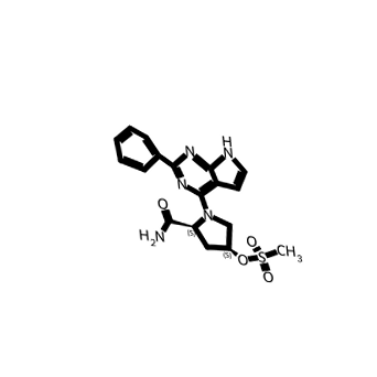 CS(=O)(=O)O[C@H]1C[C@@H](C(N)=O)N(c2nc(-c3ccccc3)nc3[nH]ccc23)C1